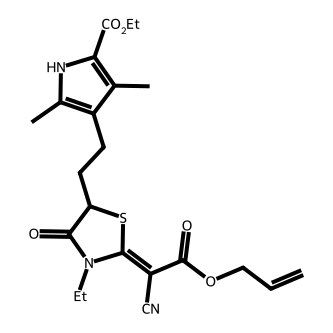 C=CCOC(=O)/C(C#N)=C1\SC(CCc2c(C)[nH]c(C(=O)OCC)c2C)C(=O)N1CC